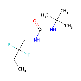 CCC(F)(F)CNC(=O)NC(C)(C)C